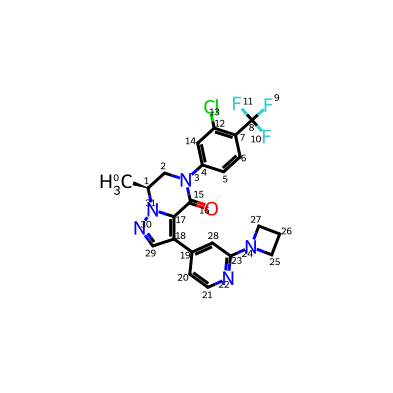 C[C@H]1CN(c2ccc(C(F)(F)F)c(Cl)c2)C(=O)c2c(-c3ccnc(N4CCC4)c3)cnn21